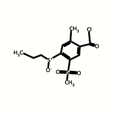 CCC[S+]([O-])c1cc(C)c(C(=O)Cl)cc1S(C)(=O)=O